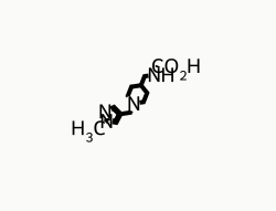 Cn1cc(CN2CCC(CNC(=O)O)CC2)cn1